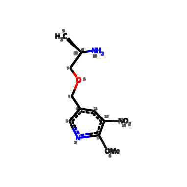 COc1ncc(COC[C@@H](C)N)cc1[N+](=O)[O-]